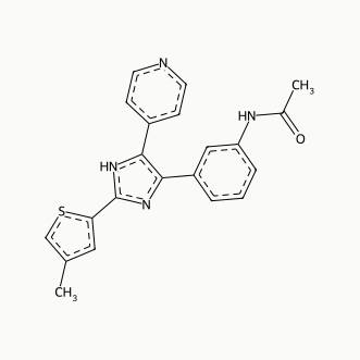 CC(=O)Nc1cccc(-c2nc(-c3cc(C)cs3)[nH]c2-c2ccncc2)c1